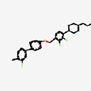 CCCC1CCC(c2ccc(COc3ccc(-c4ccc(C)c(F)c4)cc3)c(F)c2F)CC1